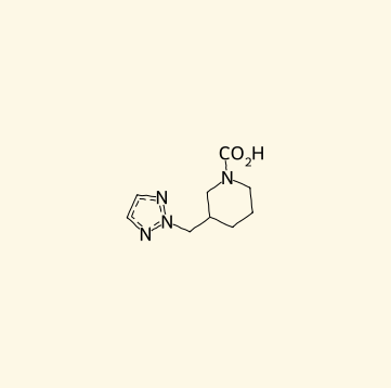 O=C(O)N1CCCC(Cn2nccn2)C1